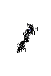 Cc1[nH]c2c(c1C(=O)N1CCC3(CC1)CN(c1ccc4c(c1)C(=O)N(C1CCC(=O)NC1=O)C4=O)CCO3)CC/C2=C1/C(=O)Nc2ccc(F)cc21